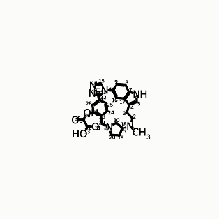 CN(CCc1c[nH]c2ccc(-n3cnnc3)cc12)[C@@H]1CCN(Cc2ccc(F)cc2)C1.O=C(O)C(=O)O